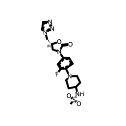 CS(=O)(=O)NC1CCN(c2ccc(N3C[C@H](Cn4ccnn4)OC3=O)cc2F)CC1